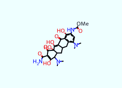 COC(=O)Nc1cc(N(C)C)c2c(c1O)C(=O)C1=C(O)C3(O)C(=O)C(C(N)=O)=C(O)C(N(C)C)C3CC1C2